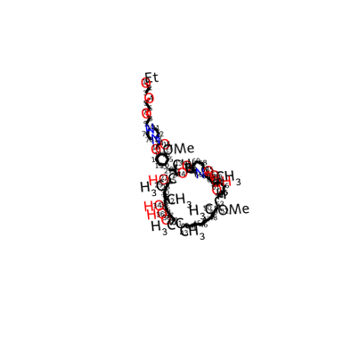 CCOCCOCCOCCN1CCN(C(=O)O[C@@H]2CC[C@@H](C[C@@H](C)[C@@H]3C[C@@H](O)[C@H](C)/C=C(\C)[C@@H](O)[C@@H](O)C(=O)[C@H](C)C[C@H](C)/C=C/C=C/C=C(\C)[C@@H](OC)C[C@@H]4CC[C@@H](C)[C@@](O)(O4)C(=O)C(=O)N4CCCC[C@H]4C(=O)O3)C[C@H]2OC)CC1